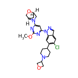 COc1nc(N2C[C@H]3C[C@@H]2CO3)cc(-n2ncc3cc(Cl)c(C4CCN(C5COC5)CC4)cc32)n1